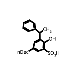 CCCCCCCCCCc1cc(C(C)c2ccccc2)c(O)c(S(=O)(=O)O)c1